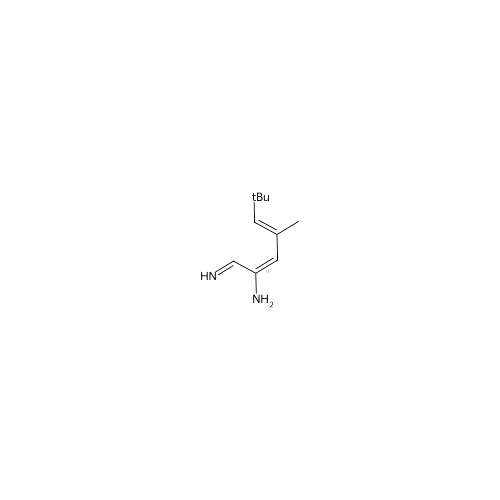 CC(=CC(C)(C)C)/C=C(/N)C=N